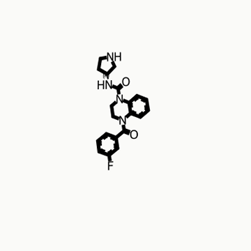 O=C(N[C@@H]1CCNC1)N1CCN(C(=O)c2cccc(F)c2)c2ccccc21